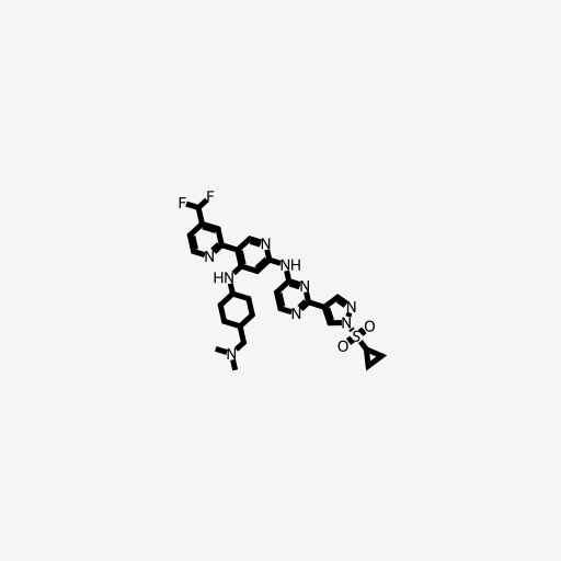 CN(C)CC1CCC(Nc2cc(Nc3ccnc(-c4cnn(S(=O)(=O)C5CC5)c4)n3)ncc2-c2cc(C(F)F)ccn2)CC1